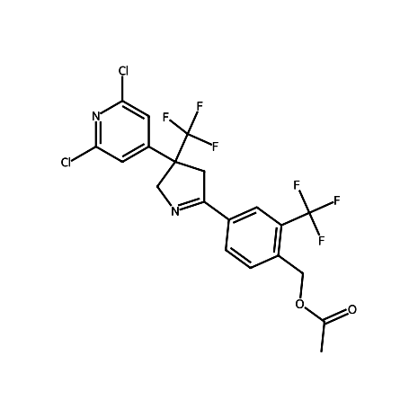 CC(=O)OCc1ccc(C2=NCC(c3cc(Cl)nc(Cl)c3)(C(F)(F)F)C2)cc1C(F)(F)F